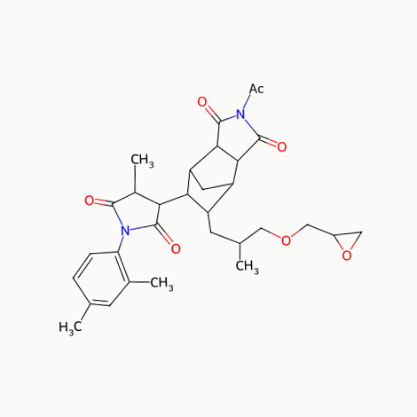 CC(=O)N1C(=O)C2C3CC(C2C1=O)C(C1C(=O)N(c2ccc(C)cc2C)C(=O)C1C)C3CC(C)COCC1CO1